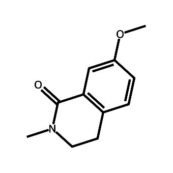 COc1ccc2c(c1)C(=O)N(C)CC2